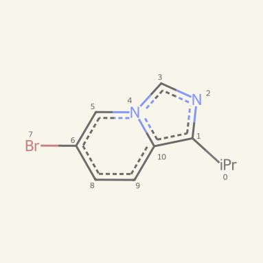 CC(C)c1ncn2cc(Br)ccc12